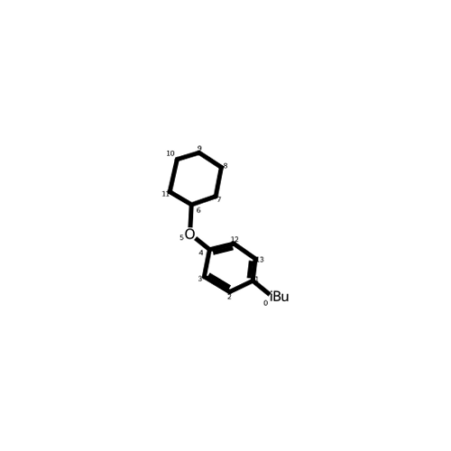 CCC(C)c1ccc(OC2CCCCC2)cc1